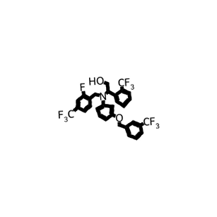 OCC(c1ccccc1C(F)(F)F)N(Cc1ccc(C(F)(F)F)cc1F)c1cccc(OCc2cccc(C(F)(F)F)c2)c1